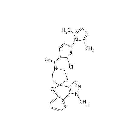 Cc1ccc(C)n1-c1ccc(C(=O)N2CCC3(CC2)Oc2ccccc2-c2c3cnn2C)c(Cl)c1